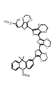 [C-]#[N+]/C(=C\c1sc(-c2sc(-c3sc(-c4sc(-c5ccc6c(c5)C(C)(C)c5ccccc5N6CCCCCC)c5c4OCCO5)c4c3OCCO4)c3c2OCCO3)c2c1OCCO2)C(=O)O